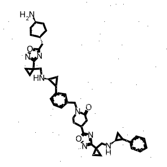 N[C@H]1CC[C@H](Cc2nc(C3(CN[C@H]4CC4c4cccc(CN5CCC(c6nc(C7(CN[C@H]8CC8c8ccccc8)CC7)no6)CC5=O)c4)CC3)no2)CC1